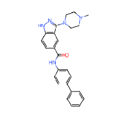 CN1CCN(c2n[nH]c3ccc(C(=O)Nc4ccc(-c5ccccc5)cc4)cc23)CC1